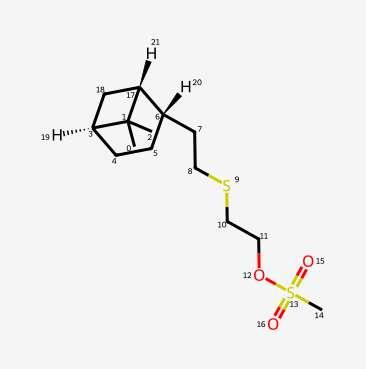 CC1(C)[C@H]2CC[C@@H](CCSCCOS(C)(=O)=O)[C@H]1C2